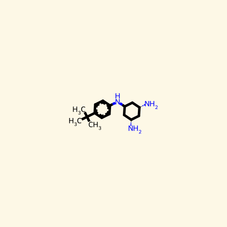 CC(C)(C)c1ccc(NC2C[C@@H](N)C[C@@H](N)C2)cc1